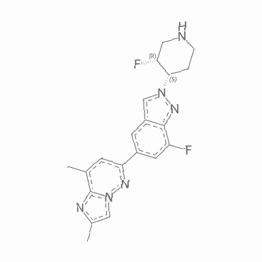 Cc1cn2nc(-c3cc(F)c4nn([C@H]5CCNC[C@H]5F)cc4c3)cc(C)c2n1